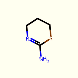 NC1=NCCCS1